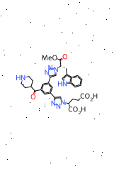 COC(=O)[C@H](Cc1c[nH]c2ccccc12)n1cc(-c2cc(C(=O)C3CCNCC3)cc(-c3cn([C@@H](CCC(=O)O)C(=O)O)nn3)c2)nn1